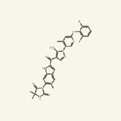 Cc1cc(Oc2c(F)cccc2F)ncc1-n1ncc(C(=O)c2cc3cc(F)c(N4C(=O)NC(C)(C)C4=O)cc3[nH]2)c1N